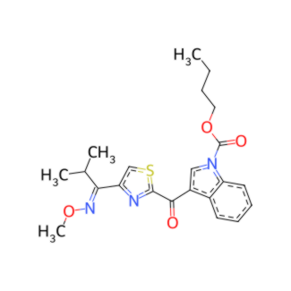 CCCCOC(=O)n1cc(C(=O)c2nc(C(=NOC)C(C)C)cs2)c2ccccc21